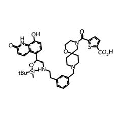 CC(C)(C)[Si](C)(C)OC(CNCCc1cccc(CN2CCC3(CC2)CN(C(=O)c2ccc(C(=O)O)s2)CCO3)c1)c1ccc(O)c2[nH]c(=O)ccc12